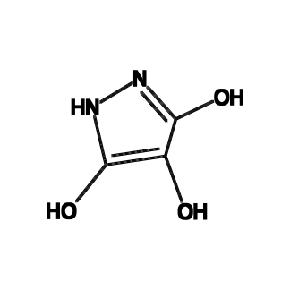 Oc1n[nH]c(O)c1O